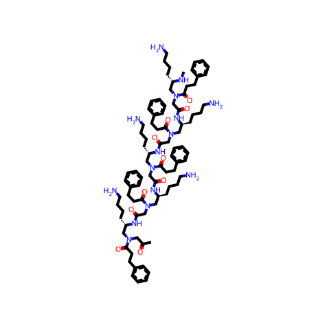 CN[C@@H](CCCCN)CN(CC(=O)N[C@@H](CCCCN)CN(CC(=O)N[C@@H](CCCCN)CN(CC(=O)N[C@@H](CCCCN)CN(CC(=O)N[C@@H](CCCCN)CN(CC(C)=O)C(=O)CCc1ccccc1)C(=O)CCc1ccccc1)C(=O)CCc1ccccc1)C(=O)CCc1ccccc1)C(=O)CCc1ccccc1